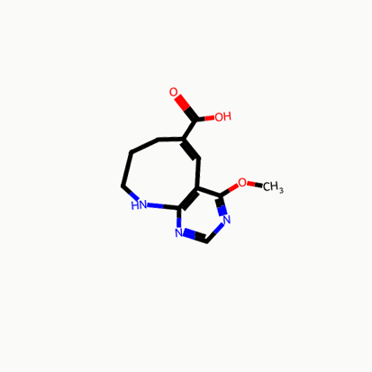 COc1ncnc2c1C=C(C(=O)O)CCCN2